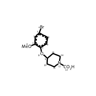 COc1cc(Br)ccc1OC1CCN(C(=O)O)CC1